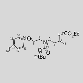 CCOC(=O)CC(C)CCN(CCOc1ccc(I)cc1)C(=O)OC(C)(C)C